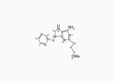 COCCSc1nc(N)c2c(n1)N(Cc1ccccc1)CN2